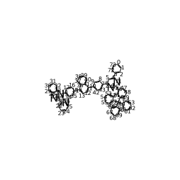 c1ccc(-c2cc(-c3ccc(-c4ccc(-c5ccc(-n6c(-c7ccccn7)nc7ccccc76)cc5)c5ccccc45)cc3)nc(-c3cccc4c3-c3ccccc3C4(c3ccccc3)c3ccccc3)n2)cc1